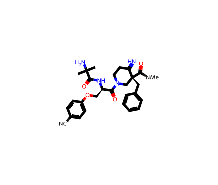 CNC(=O)[C@]1(Cc2ccccc2)CN(C(=O)[C@@H](COc2ccc(C#N)cc2)NC(=O)C(C)(C)N)CCC1=N